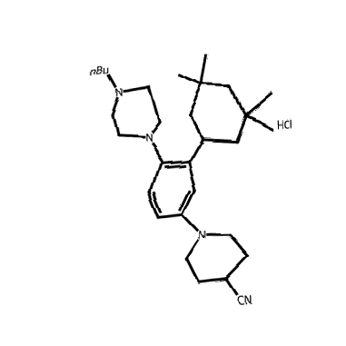 CCCCN1CCN(c2ccc(N3CCC(C#N)CC3)cc2C2CC(C)(C)CC(C)(C)C2)CC1.Cl